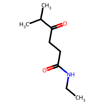 CCNC(=O)CCC(=O)C(C)C